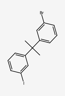 CC(C)(c1cccc(Br)c1)c1cccc(I)c1